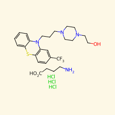 Cl.Cl.Cl.NCCCC(=O)O.OCCN1CCN(CCCN2c3ccccc3Sc3ccc(C(F)(F)F)cc32)CC1